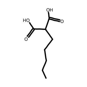 CCCCC[C](C(=O)O)C(=O)O